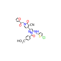 N#Cc1c(-c2cc(NCc3ccc(Cl)s3)n(C(=O)c3ccc(C(=O)O)cc3)n2)ccn(CC(=O)c2ccco2)c1=O